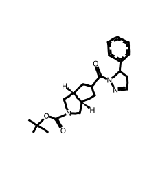 CC(C)(C)OC(=O)N1C[C@H]2CC(C(=O)N3N=CCC3c3ccccc3)C[C@H]2C1